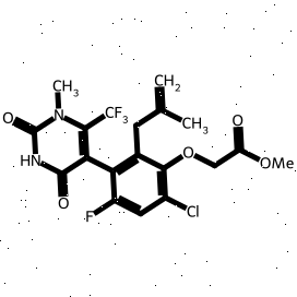 C=C(C)Cc1c(OCC(=O)OC)c(Cl)cc(F)c1-c1c(C(F)(F)F)n(C)c(=O)[nH]c1=O